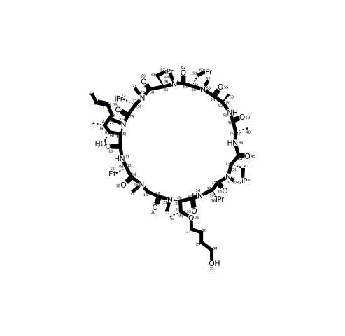 C/C=C/C[C@@H](C)[C@@H](O)[C@H]1C(=O)N[C@@H](CC)C(=O)N(C)CC(=O)N(C)[C@@H]([C@@H](C)OCCCCO)C(=O)N[C@@H](C(C)C)C(=O)N(C)[C@@H](CC(C)C)C(=O)N[C@@H](C)C(=O)N[C@H](C)C(=O)N(C)[C@@H](CC(C)C)C(=O)N(C)[C@H](CC(C)C)C(=O)N(C)[C@@H](C(C)C)C(=O)N1C